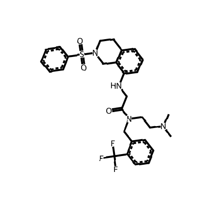 CN(C)CCN(Cc1ccccc1C(F)(F)F)C(=O)CNc1cccc2c1CN(S(=O)(=O)c1ccccc1)CC2